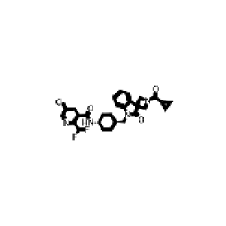 O=C(N[C@H]1CC[C@H](CN2C(=O)C3(CN(C(=O)C4CC4)C3)c3ccccc32)CC1)c1cc(Cl)cnc1C(F)F